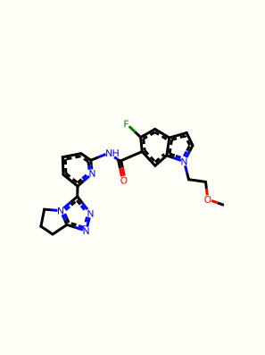 COCCn1ccc2cc(F)c(C(=O)Nc3cccc(-c4nnc5n4CCC5)n3)cc21